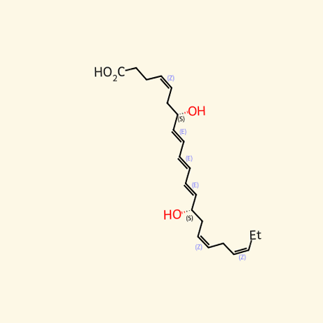 CC/C=C\C/C=C\C[C@H](O)/C=C/C=C/C=C/[C@@H](O)C/C=C\CCC(=O)O